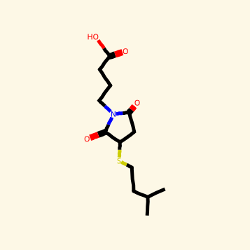 CC(C)CCSC1CC(=O)N(CCCC(=O)O)C1=O